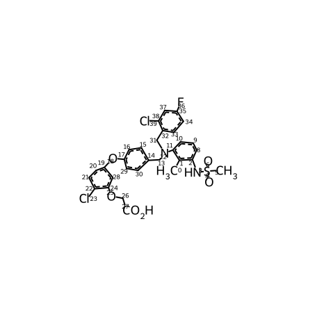 Cc1c(NS(C)(=O)=O)cccc1N(Cc1ccc(Oc2ccc(Cl)c(OCC(=O)O)c2)cc1)Cc1ccc(F)cc1Cl